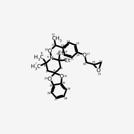 CCC1(CC)CC2(CC(C)(C)N1OC(C)c1ccc(OCC3CO3)cc1)Oc1ccccc1O2